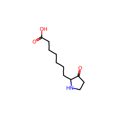 O=C(O)CCCCCCC1NCCC1=O